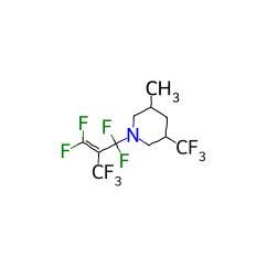 CC1CC(C(F)(F)F)CN(C(F)(F)C(=C(F)F)C(F)(F)F)C1